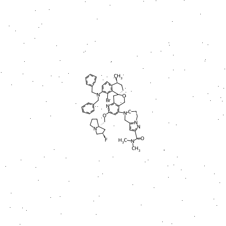 C[C@H]1CC[C@]2(Cc3nc(OC[C@@]45CCCN4C[C@H](F)C5)cc(N4CCCn5nc(C(=O)N(C)C)cc5C4)c3CO2)c2c1ccc(N(Cc1ccccc1)Cc1ccccc1)c2Br